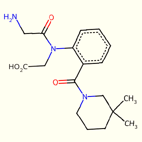 CC1(C)CCCN(C(=O)c2ccccc2N(CC(=O)O)C(=O)CN)C1